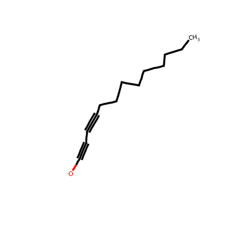 CCCCCCCCCC#CC#C[O]